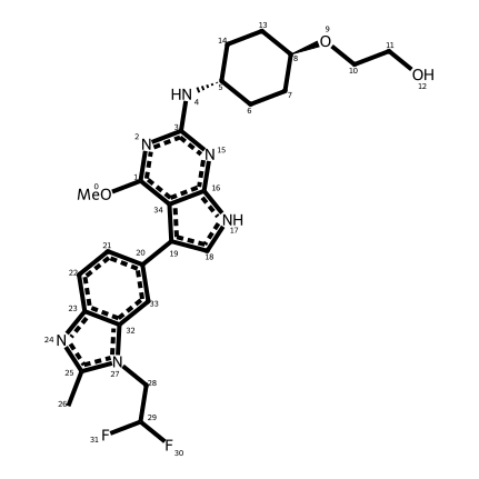 COc1nc(N[C@H]2CC[C@H](OCCO)CC2)nc2[nH]cc(-c3ccc4nc(C)n(CC(F)F)c4c3)c12